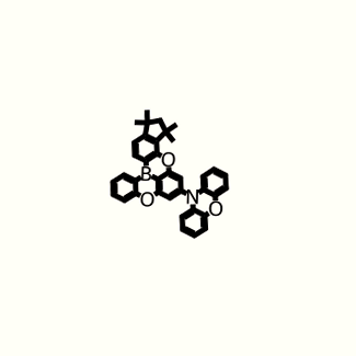 CC1(C)CC(C)(C)c2c1ccc1c2Oc2cc(N3c4ccccc4Oc4ccccc43)cc3c2B1c1ccccc1O3